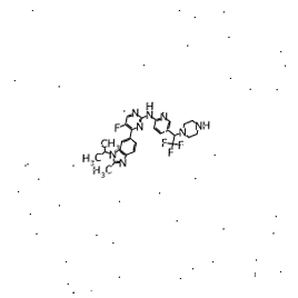 Cc1nc2ccc(-c3nc(Nc4ccc(C(N5CCNCC5)C(F)(F)F)cn4)ncc3F)cc2n1C(C)C